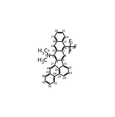 CN(C)c1c2c(cc3c(C(F)(F)F)c4ccccc4cc13)-c1cccc3c1c-2cc1ccccc13